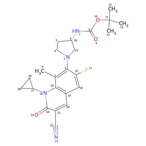 Cc1c(N2CC[C@H](NC(=O)OC(C)(C)C)C2)c(F)cc2cc(C#N)c(=O)n(C3CC3)c12